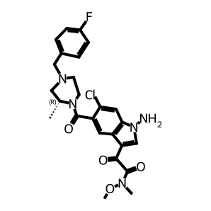 CON(C)C(=O)C(=O)c1cn(N)c2cc(Cl)c(C(=O)N3CCN(Cc4ccc(F)cc4)C[C@H]3C)cc12